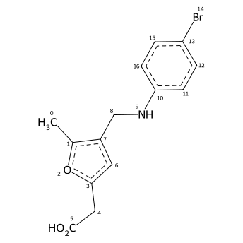 Cc1oc(CC(=O)O)cc1CNc1ccc(Br)cc1